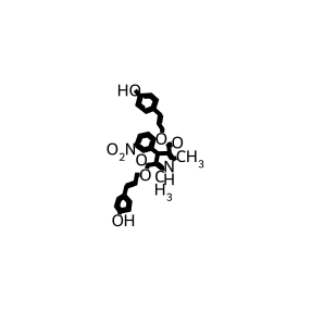 CC1=C(C(=O)OCC=Cc2ccc(O)cc2)C(c2cccc([N+](=O)[O-])c2)C(C(=O)OCC=Cc2ccc(O)cc2)=C(C)N1